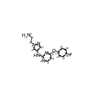 NCCn1cc(Nc2nccc(Oc3ccc(F)cc3)n2)cn1